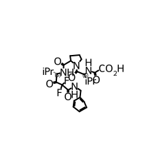 CC(C)[C@H](NC(=O)C(=O)O)C(=O)N1CCCC1C(=O)N[C@H](C(=O)C(F)(F)C(=O)NCc1ccccc1)C(C)C